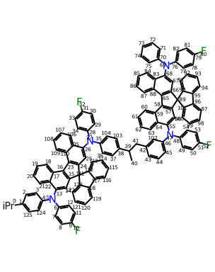 CC(C)c1ccc(N(c2ccc(F)cc2)c2cc3c(c4ccccc24)-c2c(cc(N(c4ccc(F)cc4)c4ccc(C(C)Cc5cccc(N(c6ccc(F)cc6)c6cc7c(c8ccccc68)-c6c(cc(N(c8ccccc8)c8ccc(F)cc8)c8ccccc68)C76c7ccccc7-c7ccccc76)c5)cc4)c4ccccc24)C32c3ccccc3-c3ccccc32)cc1